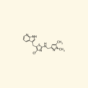 Cc1cc(CNc2nc(Cl)c(Cc3c[nH]c4ncccc34)s2)nn1C